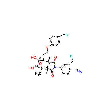 CC12OC(CCOc3ccc(CF)cc3)([C@@H]3C(=O)N(c4ccc(C#N)c(CF)c4)C(=O)[C@@H]31)[C@@H](O)[C@H]2O